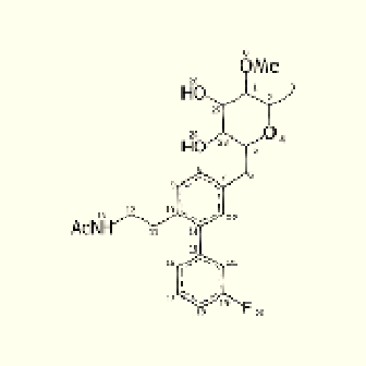 COC1C(C)OC(Cc2ccc(CCNC(C)=O)c(-c3cccc(F)c3)c2)C(O)C1O